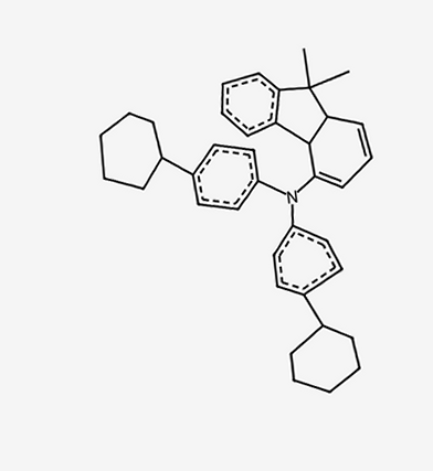 CC1(C)c2ccccc2C2C(N(c3ccc(C4CCCCC4)cc3)c3ccc(C4CCCCC4)cc3)=CC=CC21